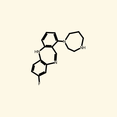 Fc1ccc2c(c1)N=Cc1c(cccc1N1CCCNCC1)N2